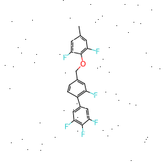 Cc1cc(F)c(OCc2ccc(-c3cc(F)c(F)c(F)c3)c(F)c2)c(F)c1